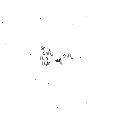 [InH3].[InH3].[InH3].[InH3].[SnH4].[SnH4].[SnH4]